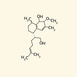 COC1C(C)=CC2=C(C1O)[C@H](C)CC[C@H]2C(CO)CCC=C(C)C